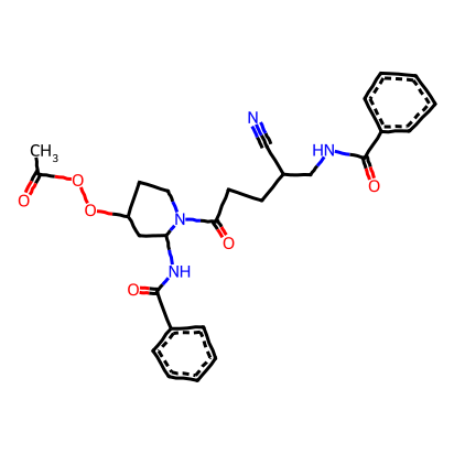 CC(=O)OOC1CCN(C(=O)CCC(C#N)CNC(=O)c2ccccc2)C(NC(=O)c2ccccc2)C1